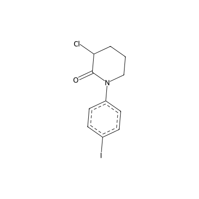 O=C1C(Cl)CCCN1c1ccc(I)cc1